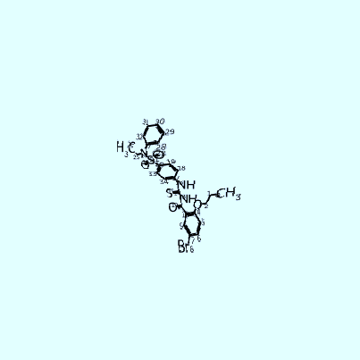 CCCOc1ccc(Br)cc1C(=O)NC(=S)Nc1ccc(S(=O)(=O)N(CC)c2ccccc2)cc1